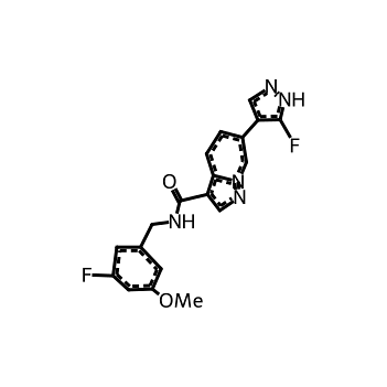 COc1cc(F)cc(CNC(=O)c2cnn3cc(-c4cn[nH]c4F)ccc23)c1